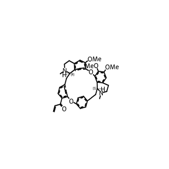 C=CC(=O)c1ccc2cc1Oc1ccc(cc1)C[C@H]1c3c(cc(OC)c(OC)c3Oc3cc4c(cc3OC)CCN(C)[C@@H]4C2)CCN1C